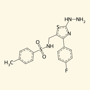 Cc1ccc(S(=O)(=O)NCc2sc(NN)nc2-c2ccc(F)cc2)cc1